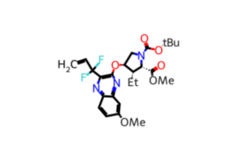 C=CC(F)(F)c1nc2ccc(OC)cc2nc1O[C@H]1CN(C(=O)OC(C)(C)C)[C@H](C(=O)OC)[C@@H]1CC